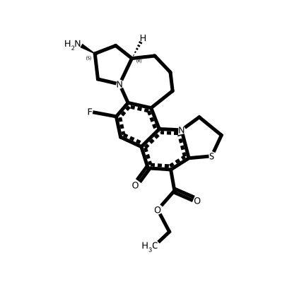 CCOC(=O)c1c2n(c3c4c(c(F)cc3c1=O)N1C[C@@H](N)C[C@H]1CCC4)CCS2